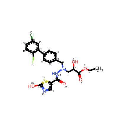 CCOC(=O)C(O)CN(Cc1ccc(-c2cc(Cl)ccc2F)cc1)NC(=O)c1cnc(O)s1